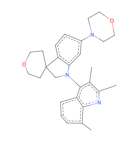 Cc1nc2c(C)cccc2c(N2CC3(CCOCC3)c3ccc(N4CCOCC4)cc32)c1C